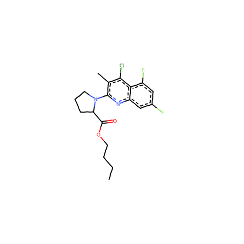 CCCCOC(=O)C1CCCN1c1nc2cc(F)cc(F)c2c(Cl)c1C